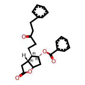 O=C(CCc1ccccc1)CC[C@H]1[C@H](OC(=O)c2ccccc2)CC2OC(=O)C[C@@H]21